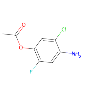 CC(=O)Oc1cc(Cl)c(N)cc1F